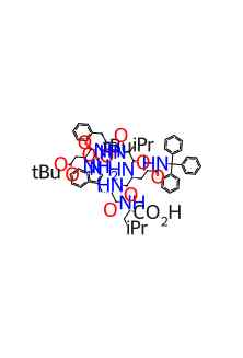 CC(C)C[C@H](NC(=O)[C@H](Cc1cn(C(=O)OC(C)(C)C)c2ccccc12)NC(=O)[C@H](CCC(=O)NC(c1ccccc1)(c1ccccc1)c1ccccc1)NC(=O)[C@@H](NC(=O)[C@H](Cc1ccccc1)NC(=O)[C@@H](N)CC(=O)OC(C)(C)C)C(C)C)C(=O)O